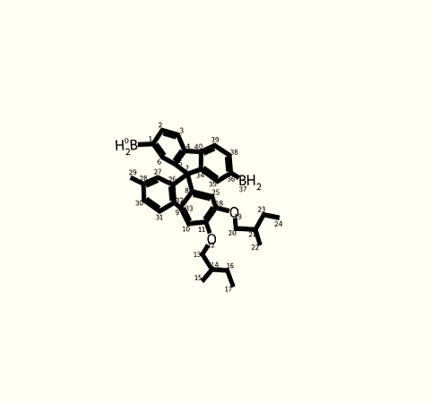 Bc1ccc2c(c1)C(c1ccc(OCC(C)CC)c(OCC(C)CC)c1)(c1cc(C)ccc1C)c1cc(B)ccc1-2